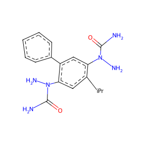 CC(C)c1cc(N(N)C(N)=O)c(-c2ccccc2)cc1N(N)C(N)=O